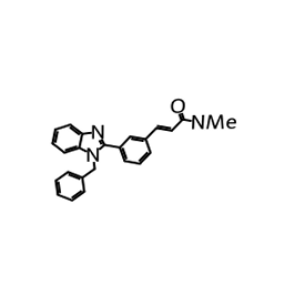 CNC(=O)/C=C/c1cccc(-c2nc3ccccc3n2Cc2ccccc2)c1